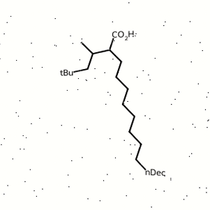 CCCCCCCCCCCCCCCCCCC(C(=O)O)C(C)CC(C)(C)C